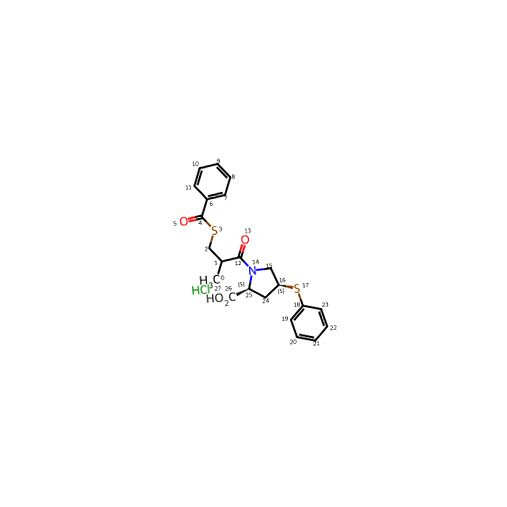 CC(CSC(=O)c1ccccc1)C(=O)N1C[C@@H](Sc2ccccc2)C[C@H]1C(=O)O.Cl